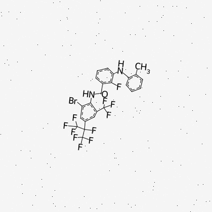 Cc1ccccc1Nc1cccc(C(=O)Nc2c(Br)cc(C(F)(C(F)(F)F)C(F)(F)F)cc2C(F)(F)F)c1F